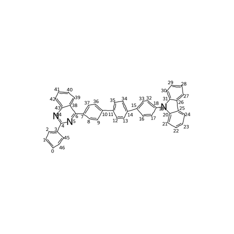 c1ccc(-c2nc(-c3ccc(-c4ccc(-c5ccc(-n6c7ccccc7c7ccccc76)cc5)cc4)cc3)c3ccccc3n2)cc1